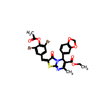 CCOC(=O)C1=C(C)N=c2s/c(=C/c3cc(Br)c(OC(C)=O)c(Br)c3)c(=O)n2C1c1ccc2c(c1)OCO2